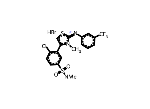 Br.CNS(=O)(=O)c1ccc(Cl)c(-c2cs/c(=N/c3cccc(C(F)(F)F)c3)n2C)c1